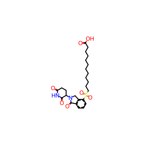 O=C(O)CCCCCCCCCCCS(=O)(=O)c1cccc2c1CN(C1CCC(=O)NC1=O)C2=O